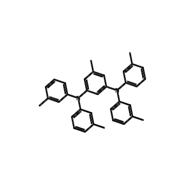 Cc1cccc(N(c2cccc(C)c2)c2cc(C)cc(N(c3cccc(C)c3)c3cccc(C)c3)c2)c1